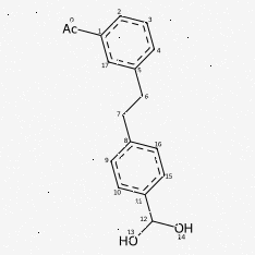 CC(=O)c1cccc(CCc2ccc(C(O)O)cc2)c1